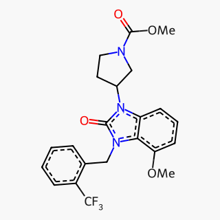 COC(=O)N1CCC(n2c(=O)n(Cc3ccccc3C(F)(F)F)c3c(OC)cccc32)C1